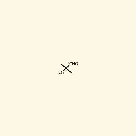 C[CH]C(C)(C)C=O